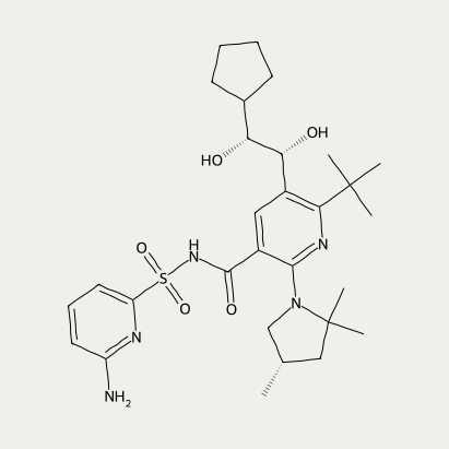 C[C@@H]1CN(c2nc(C(C)(C)C)c([C@@H](O)[C@H](O)C3CCCC3)cc2C(=O)NS(=O)(=O)c2cccc(N)n2)C(C)(C)C1